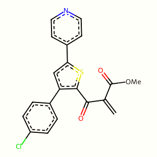 C=C(C(=O)OC)C(=O)c1sc(-c2ccncc2)cc1-c1ccc(Cl)cc1